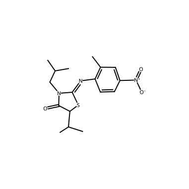 Cc1cc([N+](=O)[O-])ccc1N=C1SC(C(C)C)C(=O)N1CC(C)C